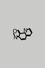 C1=c2c(ccc3cccnc23)=NCO1